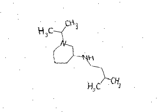 CC(C)CCNC1CCCN(C(C)C)C1